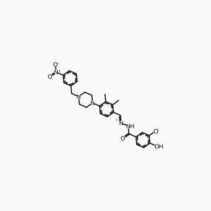 Cc1c(/C=N/NC(=O)c2ccc(O)c(Cl)c2)ccc(N2CCN(Cc3cccc([N+](=O)[O-])c3)CC2)c1C